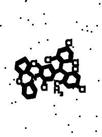 Cc1cc(Cl)cc(Cl)c1C(c1cc(Cl)c(N2c3ccccc3Oc3ccccc32)c(Cl)c1)c1c(Cl)cc(Cl)cc1Cl